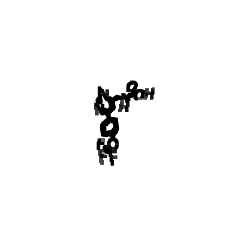 O=C(O)NCc1cc(-c2ccc(OC(F)(F)F)cc2)ncn1